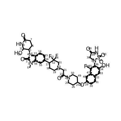 Cn1c(=O)n(C2CCC(=O)NC2O)c2ccc(C3CCN(CC(=O)N4CCC(Oc5ccc6cc(O)c(N7CC(=O)NS7(=O)=O)c(F)c6c5)CC4)CC3(F)F)cc21